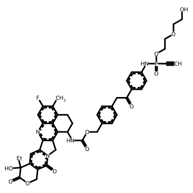 C#CP(=O)(Nc1ccc(C(=O)Cc2ccc(COC(=O)NC3CCc4c(C)c(F)cc5nc6c(c3c45)Cn3c-6cc4c(c3=O)COC(=O)C4(O)CC)cc2)cc1)OCCOCCO